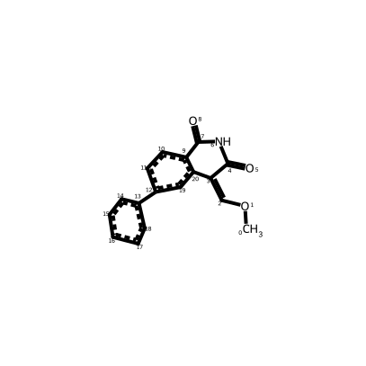 COC=C1C(=O)NC(=O)c2ccc(-c3ccccc3)cc21